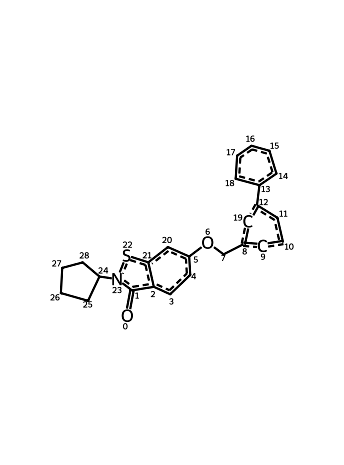 O=c1c2ccc(OCc3cccc(-c4ccccc4)c3)cc2sn1C1CCCC1